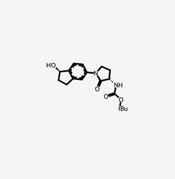 CC(C)(C)OC(=O)N[C@H]1CCN(c2ccc3c(c2)CC[C@H]3O)C1=O